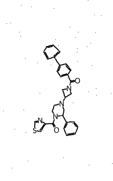 O=C(c1ccc(-c2ccccc2)cc1)N1CC(N2CCN(C(=O)c3cscn3)C(c3ccccc3)C2)C1